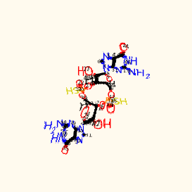 Nc1nc2c(ncn2[C@@H]2O[C@@H]3COP(=O)(S)OC4[C@@H](COP(=O)(S)O[C@@H]3C2O)O[C@@H](n2cnc3c(=O)[nH]c(N)nc32)[C@H]4O)c(=O)[nH]1